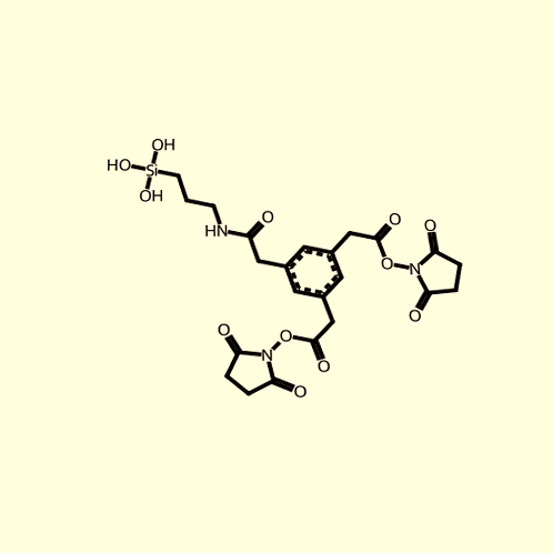 O=C(Cc1cc(CC(=O)ON2C(=O)CCC2=O)cc(CC(=O)ON2C(=O)CCC2=O)c1)NCCC[Si](O)(O)O